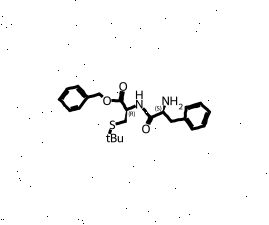 CC(C)(C)SC[C@H](NC(=O)[C@@H](N)Cc1ccccc1)C(=O)OCc1ccccc1